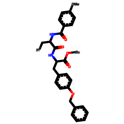 COc1ccc(C(=O)NC(CC(C)C)C(=O)NC(Cc2ccc(OCc3ccccc3)cc2)C(=O)OC(C)(C)C)cc1